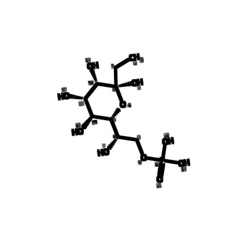 CC[C@@]1(O)O[C@H]([C@@H](O)COP(=O)(O)O)[C@@H](O)[C@H](O)[C@@H]1O